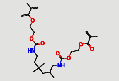 C=C(C)C(=C)OCCOC(=O)NCCC(C)(C)CC(C)CNC(=O)OCCOC(=O)C(=C)C